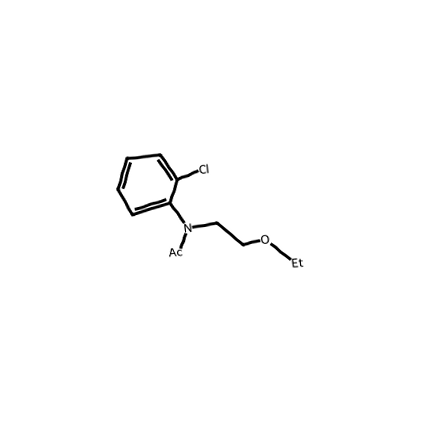 CCOCCN(C(C)=O)c1ccccc1Cl